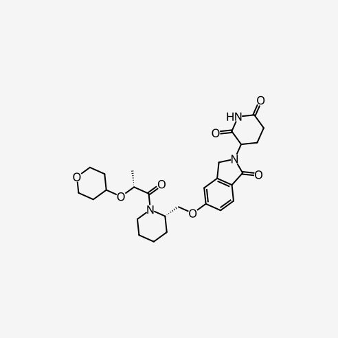 C[C@@H](OC1CCOCC1)C(=O)N1CCCC[C@H]1COc1ccc2c(c1)CN(C1CCC(=O)NC1=O)C2=O